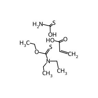 C=CC(=O)O.CCOC(=S)N(CC)CC.NC(O)=S